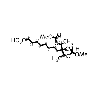 COC(=O)OC(C)C(CCCCCCCCC(=O)O)(C(=O)O)C(C)OC(=O)OC